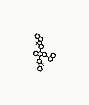 CC1(C)c2cc(-c3c4ccccc4c(-c4ccc5c(c4)sc4ccccc45)c4cc(-c5cccc6ccccc56)ccc34)ccc2-c2ccc3ccccc3c21